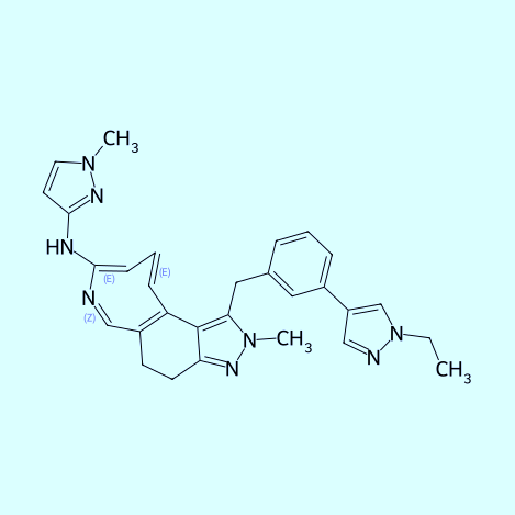 CCn1cc(-c2cccc(Cc3c4c(nn3C)CCC3=C4/C=C/C=C(Nc4ccn(C)n4)/N=C\3)c2)cn1